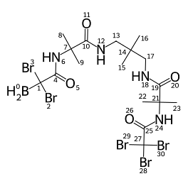 BC(Br)(Br)C(=O)NC(C)(C)C(=O)NCC(C)(C)CNC(=O)C(C)(C)NC(=O)C(Br)(Br)Br